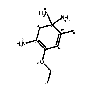 CCOC1=C(N)CC(N)(N)C(C)=C1